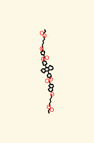 C=CC(=O)OCCCCCCOc1ccc(C(=O)Oc2ccc(-c3c4ccccc4c(-c4ccc(OC(=O)c5ccc6cc(OCCCCCCOC(=O)C=C)ccc6c5)cc4)c4ccccc34)cc2)cc1